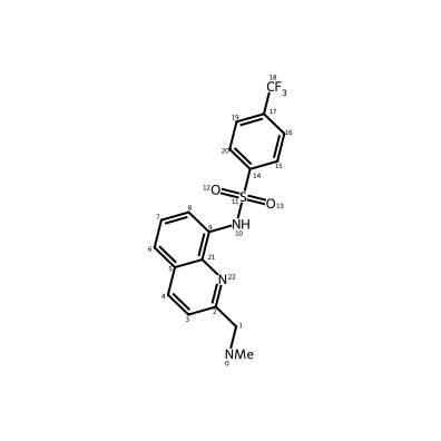 CNCc1ccc2cccc(NS(=O)(=O)c3ccc(C(F)(F)F)cc3)c2n1